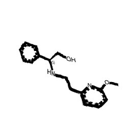 COc1cccc(CCN[C@H](CO)c2ccccc2)n1